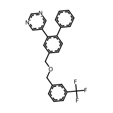 FC(F)(F)c1cccc(COCc2ccc(-c3ccccc3)c(-c3cncnc3)c2)c1